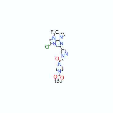 CC(C)(C)OC(=O)N1CCN(C(=O)Cn2cc(-c3cn4c(Cl)cnc4c(N4CC[C@@H]4C(F)(F)F)n3)cn2)CC1